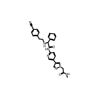 CNC(=O)Cn1cc(-c2ccc(NC(=O)C(NCCc3ccc(C#N)cc3)c3ccccc3)nc2)cn1